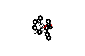 c1ccc2cc3c(cc2c1)c1c2ccccc2ccc1n3-c1ccc2oc3ccccc3c2c1-c1nc(-c2cccc3ccccc23)nc(-n2c3ccccc3c3ccccc32)n1